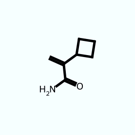 C=C(C(N)=O)C1CCC1